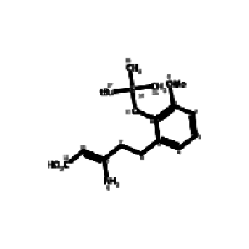 COc1cccc(CC/C(N)=C/C(=O)O)c1O[Si](C)(C)C(C)(C)C